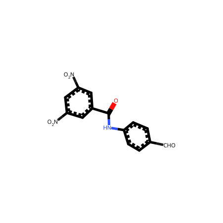 O=Cc1ccc(NC(=O)c2cc([N+](=O)[O-])cc([N+](=O)[O-])c2)cc1